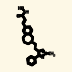 Cn1cc(CCN2CCCc3cc(/C=C/C(=O)NO)ccc3C2)c(-c2ccccc2)n1